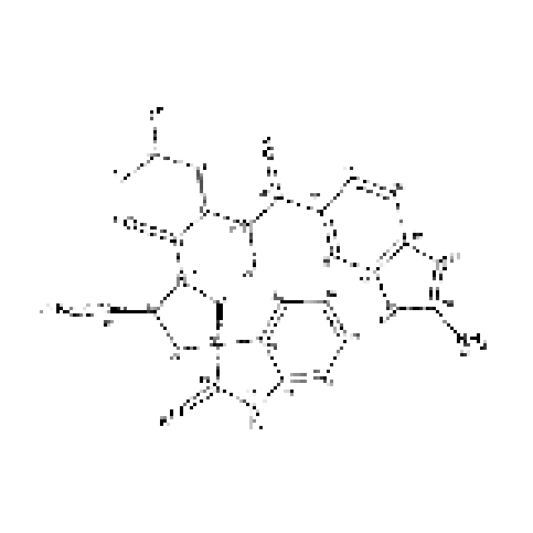 CC(C)C[C@@H](C(=O)N1C[C@]2(C[C@H]1C#N)C(=O)Nc1ccccc12)N(C)C(=O)c1ccc2nc(N)sc2c1